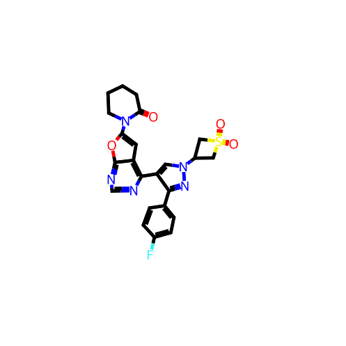 O=C1CCCCN1c1cc2c(-c3cn(C4CS(=O)(=O)C4)nc3-c3ccc(F)cc3)ncnc2o1